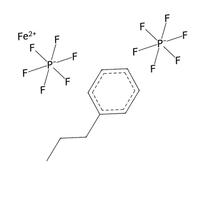 CCCc1ccccc1.F[P-](F)(F)(F)(F)F.F[P-](F)(F)(F)(F)F.[Fe+2]